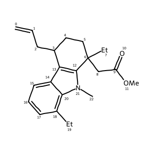 C=CCC1CCC(CC)(CC(=O)OC)c2c1c1cccc(CC)c1n2C